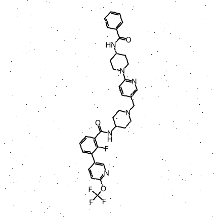 O=C(NC1CCN(c2ccc(CN3CCC(NC(=O)c4cccc(-c5ccc(OC(F)(F)F)nc5)c4F)CC3)cn2)CC1)c1ccccc1